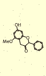 COc1cc(O)cc2c1CC(=O)C(c1ccccc1)O2